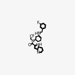 O=C(c1cc2ncccc2[nH]1)N(CC(F)(F)F)C1CCC=C(NCc2cccc(F)c2)C1